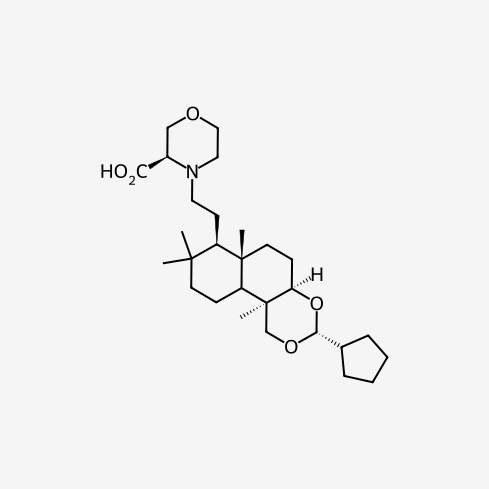 CC1(C)CCC2[C@]3(C)CO[C@@H](C4CCCC4)O[C@@H]3CC[C@@]2(C)[C@@H]1CCN1CCOC[C@@H]1C(=O)O